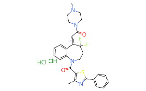 Cc1nc(-c2ccccc2)sc1C(=O)N1CCC(F)(F)/C(=C\C(=O)N2CCN(C)CC2)c2ccccc21.Cl.Cl